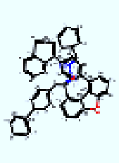 C1=CCC(CN/N=C(\CC2=CCC(c3ccccc3)C=C2)c2cccc3oc4cccc(-c5ccc(-c6cccc7ccccc67)cc5)c4c23)C=C1